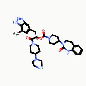 Cc1cc(C[C@@H](OC(=O)N2CCC(N3CCc4ccccc4NC3=O)CC2)C(=O)N2CCC(N3CCNCC3)CC2)cc2nn[nH]c12